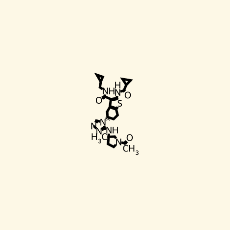 CC(=O)N1CCC(C)(Nc2nncn2[C@H]2CCc3sc(NC(=O)C4CC4)c(C(=O)NCC4CC4)c3C2)C1